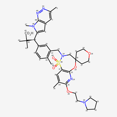 Cc1cc2cc([C@@H](c3ccc(C)c(CN4CC5(CCOCC5)Oc5nc(OCCN6CCCC6)c(C)cc5S4(=O)=O)c3)C(C)(C)C(=O)O)n(C)c2nn1